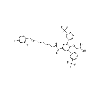 O=C(O)COc1c(-c2cccc(C(F)(F)F)c2)cc(C(=O)NCCCCCCOCc2ccc(F)cc2F)cc1-c1cccc(C(F)(F)F)c1